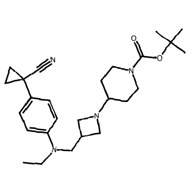 CCN(CC1CN(C2CCN(C(=O)OC(C)(C)C)CC2)C1)c1ccc(C2(C#N)CC2)cc1